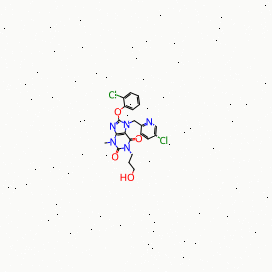 Cn1c(=O)n(CCCO)c(=O)c2c1nc(Oc1ccccc1Cl)n2Cc1ccc(Cl)cn1